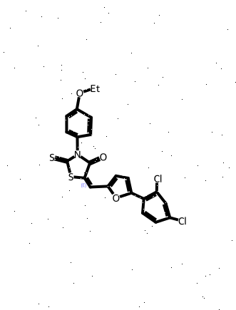 CCOc1ccc(N2C(=O)/C(=C\c3ccc(-c4ccc(Cl)cc4Cl)o3)SC2=S)cc1